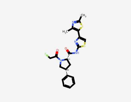 Cc1nc(C)c(-c2csc(NC(=O)[C@@H]3C[C@H](c4ccccc4)CN3C(=O)CF)n2)s1